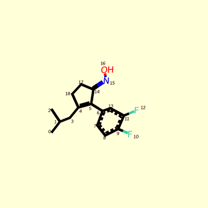 CC(C)CC1=C(c2ccc(F)c(F)c2)C(=NO)CC1